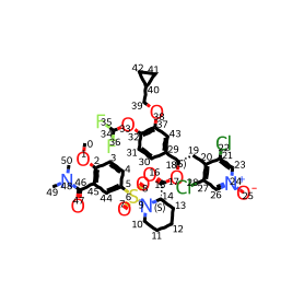 COc1ccc(S(=O)(=O)N2CCCC[C@H]2C(=O)O[C@@H](Cc2c(Cl)c[n+]([O-])cc2Cl)c2ccc(OC(F)F)c(OCC3CC3)c2)cc1C(=O)N(C)C